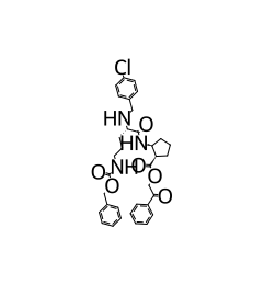 O=C(NCCC[C@H](NCc1ccc(Cl)cc1)C(=O)N[C@H]1CCC[C@H]1C(=O)OCC(=O)c1ccccc1)OCc1ccccc1